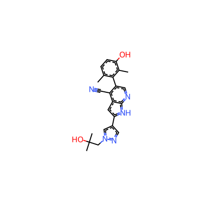 Cc1ccc(O)c(C)c1-c1cnc2[nH]c(-c3cnn(CC(C)(C)O)c3)cc2c1C#N